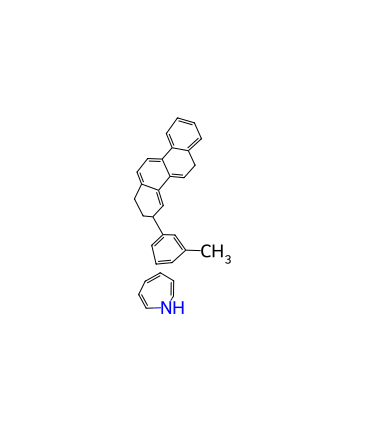 C1=CC=CNC=C1.Cc1cccc(C2C=c3c(ccc4c3=CCc3ccccc3-4)CC2)c1